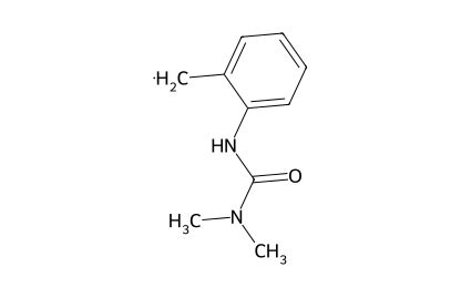 [CH2]c1ccccc1NC(=O)N(C)C